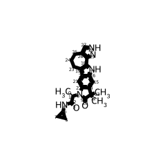 C[C@@H](C(=O)NC1CC1)N1C(=O)C(C)(C)c2cc3[nH]c4c(c3cc21)CCCc1c[nH]nc1-4